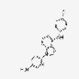 Nc1ccc(-n2ccc3c(Nc4ccc(Cl)cc4)cccc32)nc1